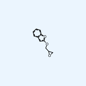 c1ccc2oc(OCC3CO3)cc2c1